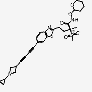 C[C@@](CCc1nc2ccc(C#CC#CC3CN(C4CC4)C3)cc2s1)(C(=O)NOC1CCCCO1)S(C)(=O)=O